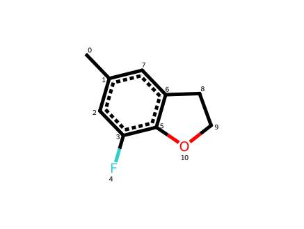 Cc1cc(F)c2c(c1)CCO2